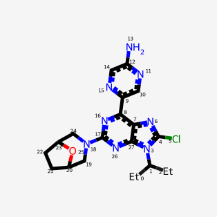 CCC(CC)n1c(Cl)nc2c(-c3cnc(N)cn3)nc(N3CC4CCC(C3)O4)nc21